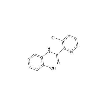 O=C(Nc1ccccc1O)c1ncccc1Cl